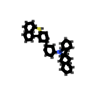 c1cc(-c2ccc3c(c2)-c2cccc4cccc(c24)S3)cc(-n2c3ccccc3c3cc4ccccc4cc32)c1